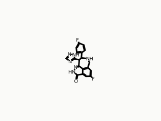 O=c1[nH]nc2c3c(cc(F)cc13)CNC(c1ccc(F)cc1)C2c1ncn[nH]1